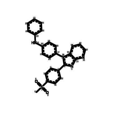 CS(=O)(=O)c1ccc(-c2nc3ncccc3n2-c2ccc(Nc3ccccc3)cc2)cc1